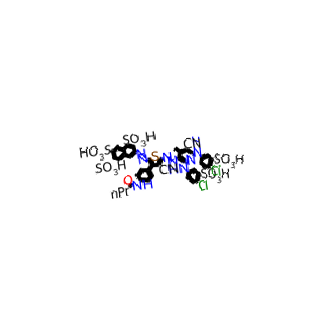 CCCC(=O)Nc1ccc(-c2c(N=Nc3cc(S(=O)(=O)O)c4cc(S(=O)(=O)O)cc(S(=O)(=O)O)c4c3)sc(N=Nc3c(Nc4ccc(Cl)c(S(=O)(=O)O)c4)nc(Nc4ccc(Cl)c(S(=O)(=O)O)c4)c(C#N)c3C)c2C#N)cc1